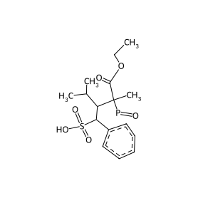 CCOC(=O)C(C)(P=O)C(C(C)C)C(c1ccccc1)S(=O)(=O)O